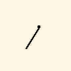 CCCCCCCCCCCCCCCCCCCCCCCCC1CCCC1